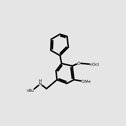 CCCCCCCCOc1c(OC)cc(CNCCCC)cc1-c1ccccc1